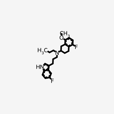 CCCN(CCCc1c[nH]c2ccc(F)cc12)C1CCc2c(F)ccc(OC)c2C1